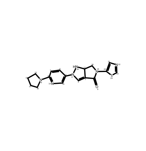 O=C1C2=CN(c3ccc(N4CCCC4)nc3)NC2CN1c1cncs1